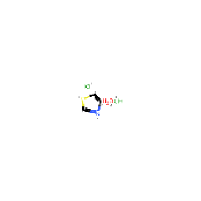 Cl.Cl.O.c1cscn1